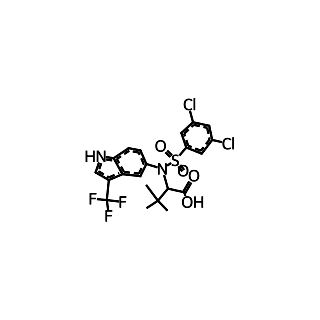 CC(C)(C)C(C(=O)O)N(c1ccc2[nH]cc(C(F)(F)F)c2c1)S(=O)(=O)c1cc(Cl)cc(Cl)c1